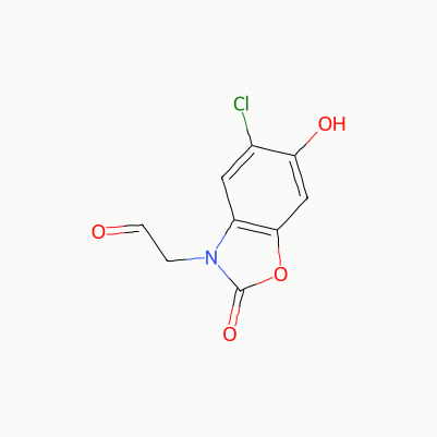 O=CCn1c(=O)oc2cc(O)c(Cl)cc21